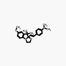 COc1ccc2c(c1)C(C)(C)C1(C=Cc3ccc(N(C)C)cc3)OCCN21